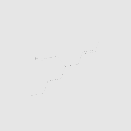 CCCCC(C/C=C/I)O[SiH3]